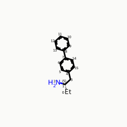 CC[C@H](N)Cc1ccc(-c2ccccc2)cc1